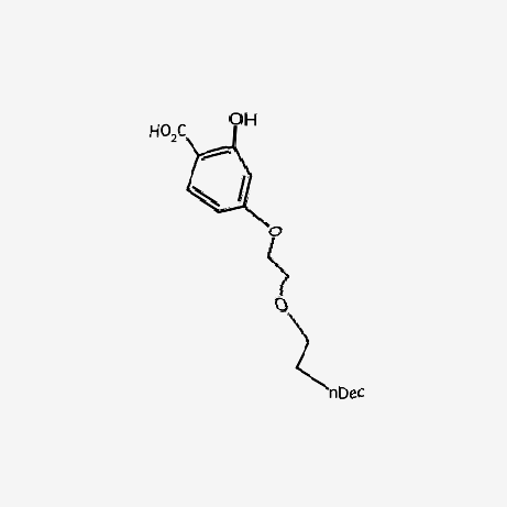 CCCCCCCCCCCCOCCOc1ccc(C(=O)O)c(O)c1